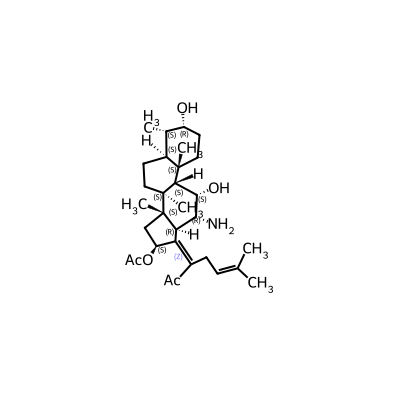 CC(=O)O[C@H]1C[C@@]2(C)[C@H](/C1=C(\CC=C(C)C)C(C)=O)[C@@H](N)[C@@H](O)[C@H]1[C@@]3(C)CC[C@@H](O)[C@@H](C)[C@@H]3CC[C@@]12C